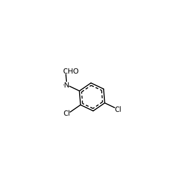 O=C[N]c1ccc(Cl)cc1Cl